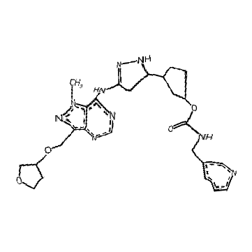 Cn1nc(COC2CCOC2)c2ncnc(NC3=NNC(C4CCC(OC(=O)NCc5cccnc5)C4)C3)c21